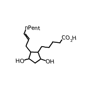 CCCCCC=CCC1C(O)CC(O)C1CCCCC(=O)O